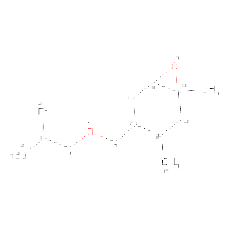 CCCCC(CC)COCC1CC2OC2(C)CC1C